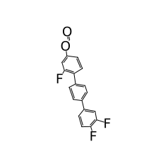 O=COc1ccc(-c2ccc(-c3ccc(F)c(F)c3)cc2)c(F)c1